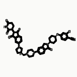 N#Cc1ccc(O[C@H]2CC[C@H](N3Cc4cc(N5CCN(C[C@H]6CCN(c7ccc8c(c7)C(=O)C(C7CCC(=O)NC7=O)C8=O)C6)CC5)ccc4C3=O)CC2)cc1Cl